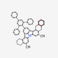 N#Cc1cc2c(c3c1CCCC3)c1cc(-c3c(-c4ccccc4)cc(-c4ccccc4)cc3-c3ccccc3)cc3c4c5c(c(C#N)cc4n2c13)C1c2ccccc2C5c2ccccc21